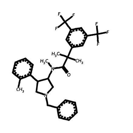 Cc1ccccc1C1CN(Cc2ccccc2)CC1N(C)C(=O)C(C)(C)c1cc(C(F)(F)F)cc(C(F)(F)F)c1